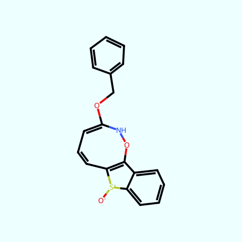 [O-][s+]1c2ccccc2c2o[nH]c(OCc3ccccc3)cccc21